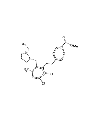 COC(=O)c1ccc(CCn2c(CN3CCC[C@@H]3CC(C)C)c(C)cc(Cl)c2=O)cc1